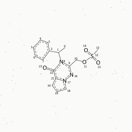 CC(c1ccccc1)n1c(COS(C)(=O)=O)nn2cccc2c1=O